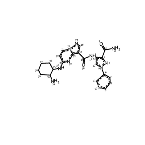 NC(=O)c1nn(-c2cccnc2)cc1NC(=O)c1cnn2ccc(NC3CCCCC3N)nc12